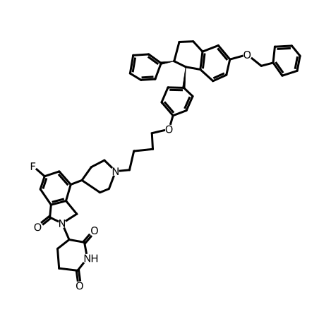 O=C1CCC(N2Cc3c(cc(F)cc3C3CCN(CCCCOc4ccc([C@@H]5c6ccc(OCc7ccccc7)cc6CC[C@@H]5c5ccccc5)cc4)CC3)C2=O)C(=O)N1